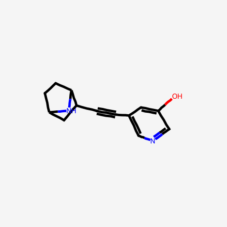 Oc1cncc(C#CC2CC3CCC2N3)c1